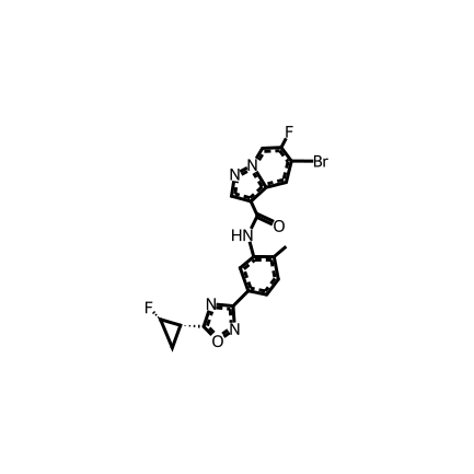 Cc1ccc(-c2noc([C@@H]3C[C@@H]3F)n2)cc1NC(=O)c1cnn2cc(F)c(Br)cc12